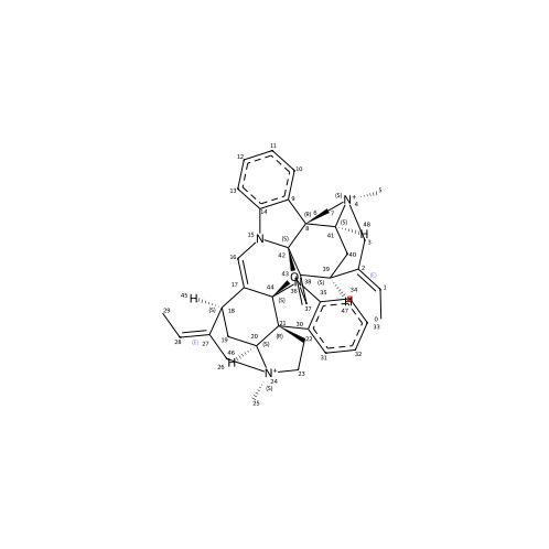 C/C=C1/C[N@+]2(C)CC[C@@]34c5ccccc5N5C=C6[C@H]7C[C@H]8[C@@]9(CC[N@@+]8(C)C/C7=C/C)c7ccccc7N7C=C([C@H]1C[C@@H]32)[C@]54O[C@@]679